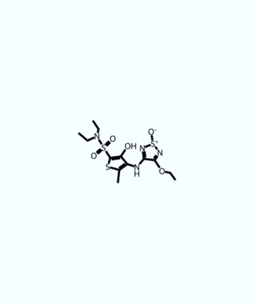 CCOc1n[s+]([O-])nc1Nc1c(C)sc(S(=O)(=O)N(CC)CC)c1O